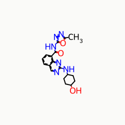 Cc1nnc(NC(=O)c2cccc3cnc(NC4CCC(O)CC4)nc23)o1